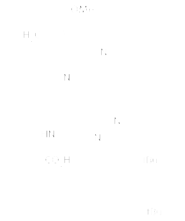 C=C(OC)c1ncc2nn(-c3cccc(C(C)(C)C)c3C(C)(C)C)c(NC(=O)O)c2n1